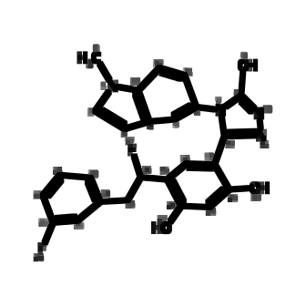 Cn1ccc2cc(-n3c(O)nnc3-c3cc(C(F)Cc4cccc(F)c4)c(O)cc3O)ccc21